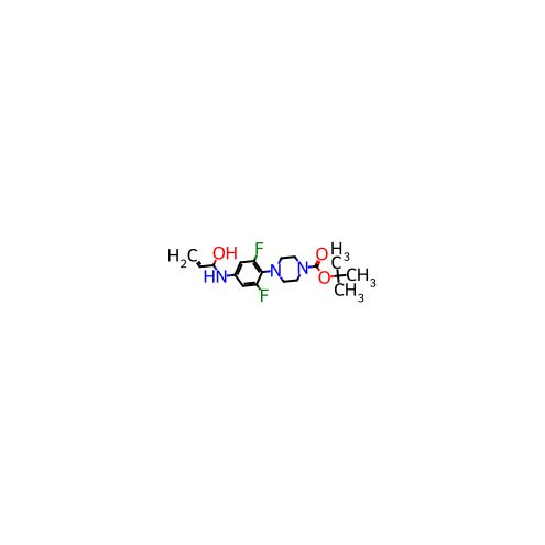 C=CC(O)Nc1cc(F)c(N2CCN(C(=O)OC(C)(C)C)CC2)c(F)c1